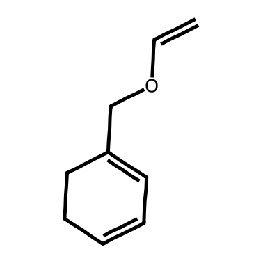 C=COCC1=CC=CCC1